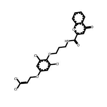 O=C(NCCCOc1c(Cl)cc(OCC=C(Cl)Cl)cc1Cl)c1cc(=O)c2ccccc2o1